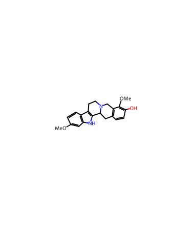 COc1ccc2c3c([nH]c2c1)C1Cc2ccc(O)c(OC)c2CN1CC3